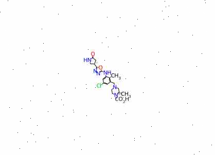 Cc1c(CN2CCN(C(=O)O)[C@@H](C)C2)cc(Cl)cc1Nc1nnc(C2CNC(=O)C2)o1